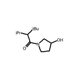 CC(C)C(C(=O)N1CCC(O)C1)C(C)(C)C